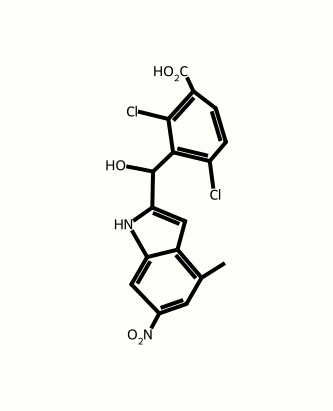 Cc1cc([N+](=O)[O-])cc2[nH]c(C(O)c3c(Cl)ccc(C(=O)O)c3Cl)cc12